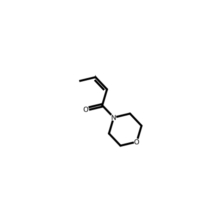 C/[C]=C\C(=O)N1CCOCC1